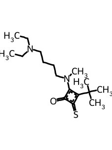 CCN(CC)CCCCN(C)c1c(C(C)(C)C)c(=S)c1=O